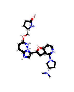 CN(C)[C@H]1CCN(c2nccc3oc(-c4cnc5ccc(OC[C@H]6CCC(=O)N6)nn45)cc23)C1